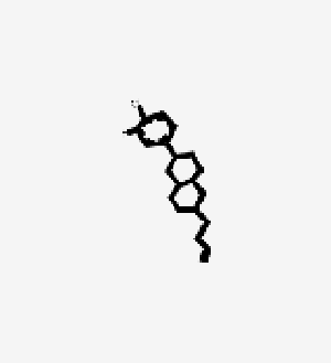 C=CCCC1CCC2CC(c3ccc(Cl)c(F)c3)CCC2C1